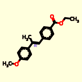 CCOC(=O)c1ccc(/C=C(\C)c2ccc(OC)cc2)cc1